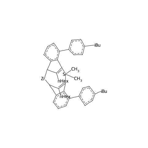 CCCCCCC1=C2c3c(-c4ccc(C(C)CC)cc4)cccc3[CH]1[Zr][CH]1C(CCCCCC)=C(c3c(-c4ccc(C(C)CC)cc4)cccc31)[Si]2(C)C